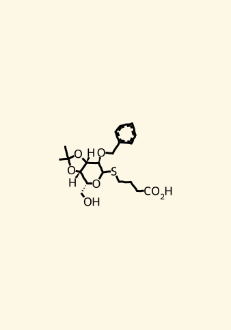 CC1(C)O[C@@H]2[C@H](O1)[C@@H](OCc1ccccc1)C(SCCCC(=O)O)O[C@@H]2CO